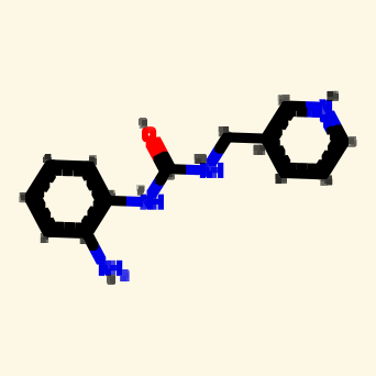 Nc1ccccc1NC(=O)NCc1cccnc1